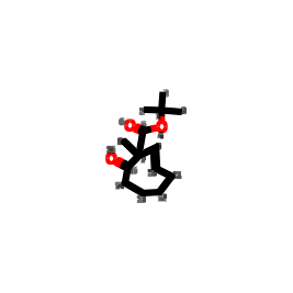 CC(C)(C)OC(=O)C1(C)/C=C/CCCCC1=O